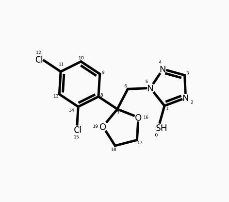 Sc1ncnn1CC1(c2ccc(Cl)cc2Cl)OCCO1